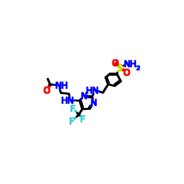 CC(=O)NCCNc1nc(NCc2ccc(S(N)(=O)=O)cc2)ncc1C(F)(F)F